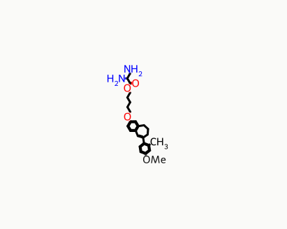 COc1ccc(C2=Cc3ccc(OCCCCCOC(=O)C(N)CN)cc3CCC2)c(C)c1